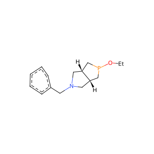 CCOP1C[C@H]2CN(Cc3ccccc3)C[C@H]2C1